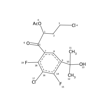 CC(=O)OC(CCCl)C(=O)c1cc(C(C)(C)O)c(F)c(Cl)c1F